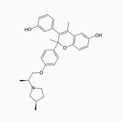 CC1=C(c2cccc(O)c2)C(C)(c2ccc(OC[C@H](C)N3CC[C@@H](C)C3)cc2)Oc2ccc(O)cc21